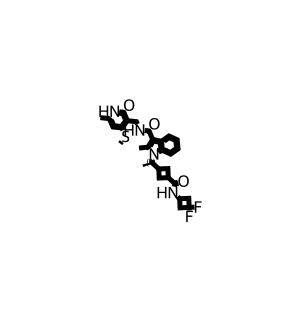 CSc1cc(C)[nH]c(=O)c1CNC(=O)c1c(C)n([C@H](C)C2CC(C(=O)NC3CC(F)(F)C3)C2)c2ccccc12